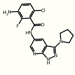 Nc1ccc(Cl)c(C(=O)Nc2cnc3[nH]nc(N4CCCC4)c3c2)c1F